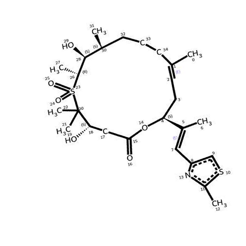 C/C1=C\C[C@@H](/C(C)=C/c2csc(C)n2)OC(=O)C[C@H](O)C(C)(C)S(=O)(=O)[C@H](C)[C@@H](O)[C@@H](C)CCC1